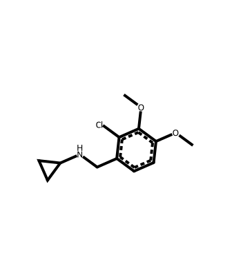 COc1ccc(CNC2CC2)c(Cl)c1OC